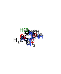 Cc1cc2c(cc1NCC(=O)N(CCNC(C)C)CC(=O)N(C)N1Cc3ccccc3C1)oc(=O)n2C.Cl